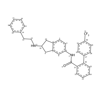 O=C(Nc1ccc2c(c1)CC(NCCc1ccccc1)C2)c1ccccc1-c1ccc(C(F)(F)F)cc1